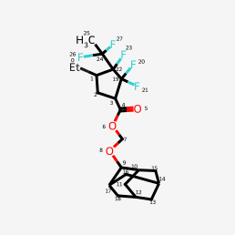 CCC1CC(C(=O)OCOC2C3CC4CC(C3)CC2C4)C(F)(F)C1(F)C(C)(F)F